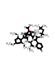 COC(=O)C(Nc1c(-c2c(OC)cc(OC)cc2OC)[nH]c2c(C(N)=O)cnn12)n1c(-c2ccc(F)cc2)c(NC(C)(C)CC(C)(C)C)n2ncc(C(N)=O)c12